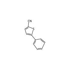 N#Cc1ccc(-c2cc[c]cc2)s1